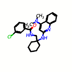 CN(C)c1cc(NC2(CNC(=O)c3cccc(Cl)c3)CCCCC2)nc2ccccc12